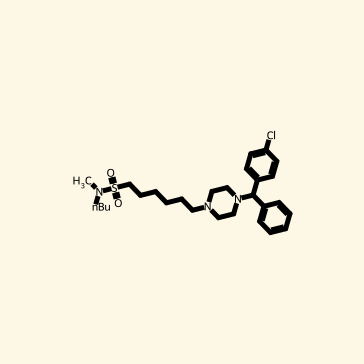 CCCCN(C)S(=O)(=O)CCCCCCN1CCN(C(c2ccccc2)c2ccc(Cl)cc2)CC1